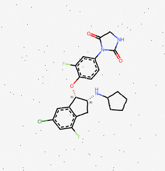 O=C1CNC(=O)N1c1ccc(O[C@H]2c3cc(Cl)cc(F)c3C[C@H]2NC2CCCC2)c(F)c1